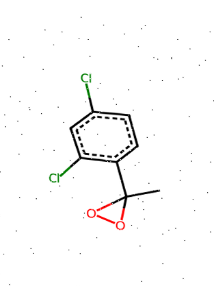 CC1(c2ccc(Cl)cc2Cl)OO1